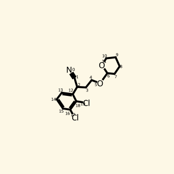 N#CC(CCOC1CCCCO1)c1cccc(Cl)c1Cl